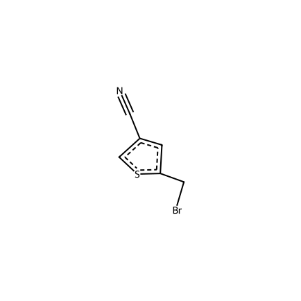 N#Cc1csc(CBr)c1